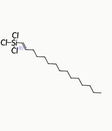 CCCCCCCCCCCCC/C=C/[Si](Cl)(Cl)Cl